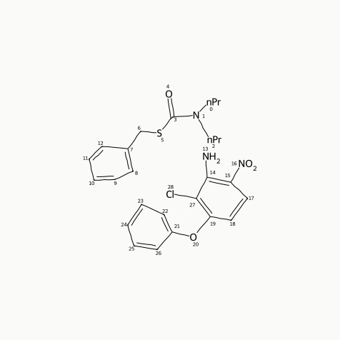 CCCN(CCC)C(=O)SCc1ccccc1.Nc1c([N+](=O)[O-])ccc(Oc2ccccc2)c1Cl